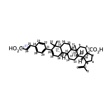 C=C(C)[C@@H]1CC[C@]2(C(=O)O)CC[C@]3(C)[C@H](CC[C@@H]4[C@@]5(C)CC=C(c6ccc(/C=C/C(=O)O)cc6)C(C)(C)C5CC[C@]43C)[C@@H]12